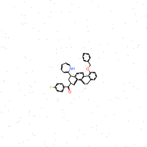 O=C(c1ccc(F)cc1)C1C=c2c(ccc3c2=CCc2cccc(OCc4ccccc4)c2-3)C(C2=CC=CC=CN2)C1